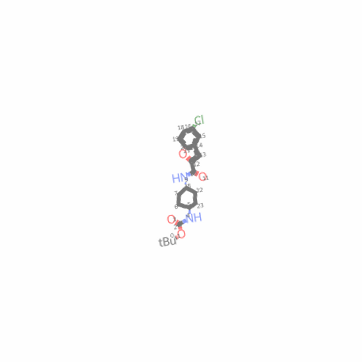 CC(C)(C)OC(=O)N[C@H]1CC[C@H](NC(=O)c2cc3cc(Cl)ccc3o2)CC1